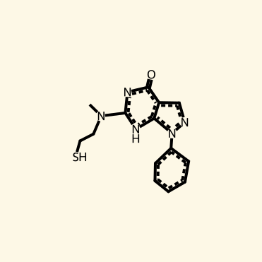 CN(CCS)c1nc(=O)c2cnn(-c3ccccc3)c2[nH]1